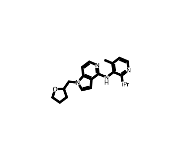 Cc1ccnc(C(C)C)c1Nc1nccc2c1ccn2CC1CCCO1